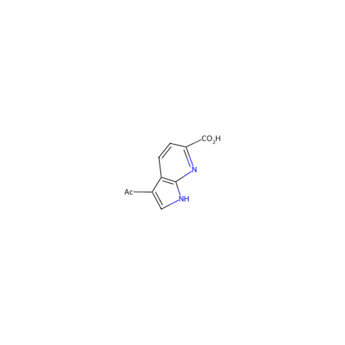 CC(=O)c1c[nH]c2nc(C(=O)O)ccc12